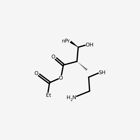 CCC[C@@H](O)[C@H](C)C(=O)OC(=O)CC.NCCS